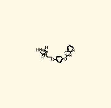 c1cnc2nc(Oc3ccc(OCCN4C[C@@H]5C[C@H]4CN5)cc3)sc2c1